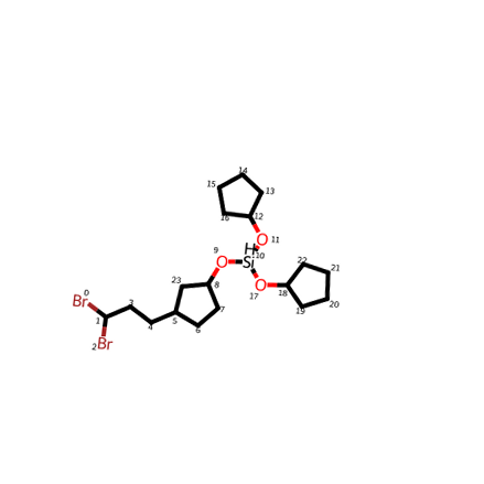 BrC(Br)CCC1CCC(O[SiH](OC2CCCC2)OC2CCCC2)C1